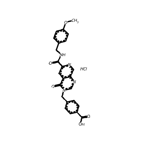 COc1ccc(CNC(=O)c2cc3c(=O)n(Cc4ccc(C(=O)O)cc4)cnc3cn2)cc1.Cl